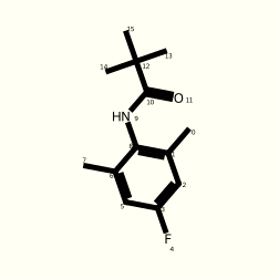 Cc1cc(F)cc(C)c1NC(=O)C(C)(C)C